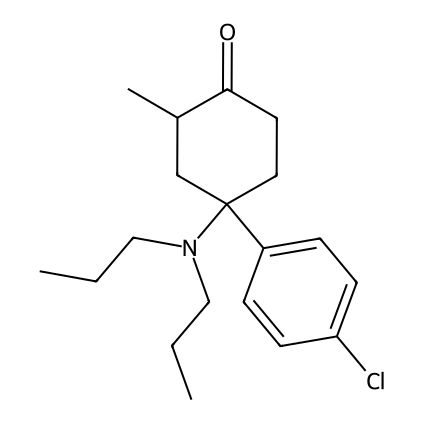 CCCN(CCC)C1(c2ccc(Cl)cc2)CCC(=O)C(C)C1